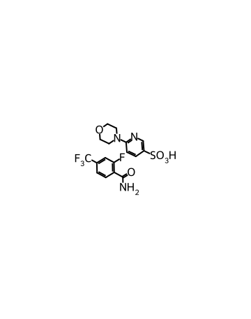 NC(=O)c1ccc(C(F)(F)F)cc1F.O=S(=O)(O)c1ccc(N2CCOCC2)nc1